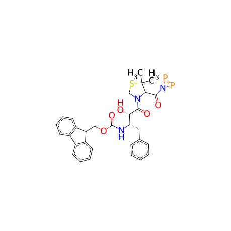 CC1(C)SCN(C(=O)[C@@H](O)[C@H](Cc2ccccc2)NC(=O)OCC2c3ccccc3-c3ccccc32)C1C(=O)N1P=P1